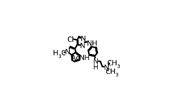 CC(=O)Nc1cc(Nc2ncc(Cl)c(-c3cn(C)c4ccccc34)n2)ccc1NCCN(C)C